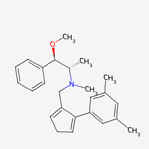 CO[C@H](c1ccccc1)[C@H](C)N(C)CC1=CCC=C1c1cc(C)cc(C)c1